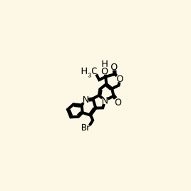 CCC1(O)C(=O)OCc2c1cc1n(c2=O)Cc2c-1nc1ccccc1c2CBr